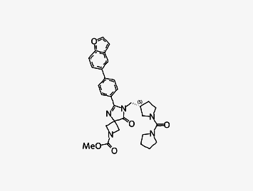 COC(=O)N1CC2(C1)N=C(c1ccc(-c3ccc4occc4c3)cc1)N(C[C@@H]1CCN(C(=O)N3CCCC3)C1)C2=O